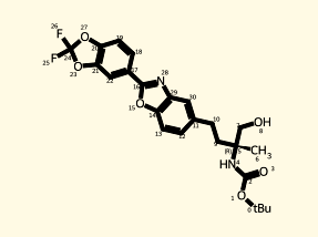 CC(C)(C)OC(=O)N[C@@](C)(CO)CCc1ccc2oc(-c3ccc4c(c3)OC(F)(F)O4)nc2c1